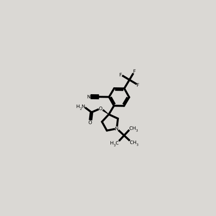 CC(C)(C)N1CC[C@](OC(N)=O)(c2ccc(C(F)(F)F)cc2C#N)C1